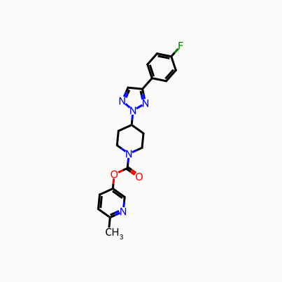 Cc1ccc(OC(=O)N2CCC(n3ncc(-c4ccc(F)cc4)n3)CC2)cn1